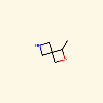 CC1OCC12CNC2